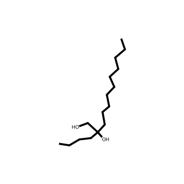 CCCCCCCCCCC(O)(CO)CCCC